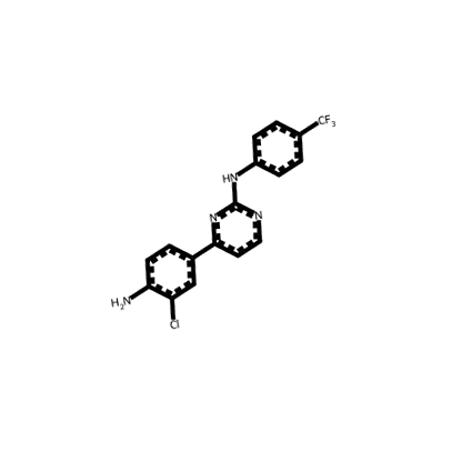 Nc1ccc(-c2ccnc(Nc3ccc(C(F)(F)F)cc3)n2)cc1Cl